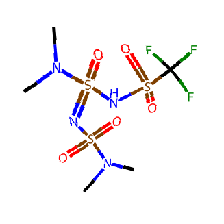 CN(C)S(=O)(=O)N=S(=O)(NS(=O)(=O)C(F)(F)F)N(C)C